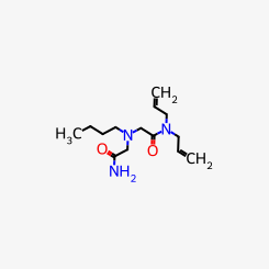 C=CCN(CC=C)C(=O)CN(CCCC)CC(N)=O